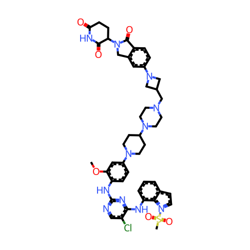 COc1cc(N2CCC(N3CCN(CC4CN(c5ccc6c(c5)CN(C5CCC(=O)NC5=O)C6=O)C4)CC3)CC2)ccc1Nc1ncc(Cl)c(Nc2cccc3ccn(S(C)(=O)=O)c23)n1